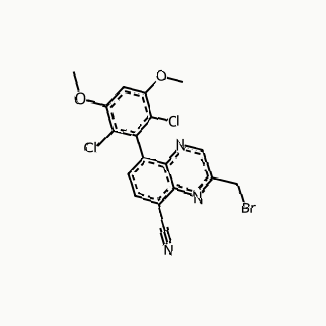 COc1cc(OC)c(Cl)c(-c2ccc(C#N)c3nc(CBr)cnc23)c1Cl